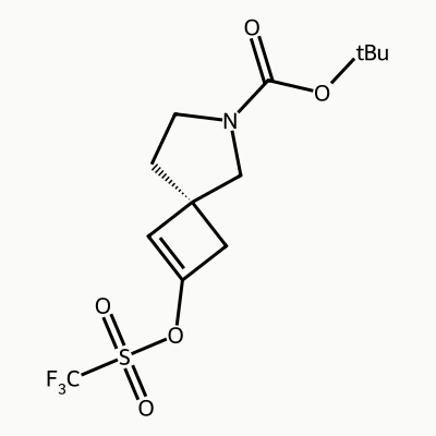 CC(C)(C)OC(=O)N1CC[C@]2(C=C(OS(=O)(=O)C(F)(F)F)C2)C1